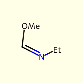 CC/N=C\OC